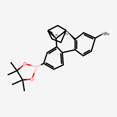 CCCCc1ccc2c(c1)[C@]13CCC4(C1)C[C@@]43c1cc(B3OC(C)(C)C(C)(C)O3)ccc1-2